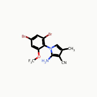 Cc1cn(-c2c(Br)cc(Br)cc2OC(F)(F)F)c(N)c1C#N